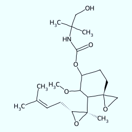 COC1C(OC(=O)NC(C)(C)CO)CC[C@]2(CO2)C1[C@@]1(C)O[C@@H]1CC=C(C)C